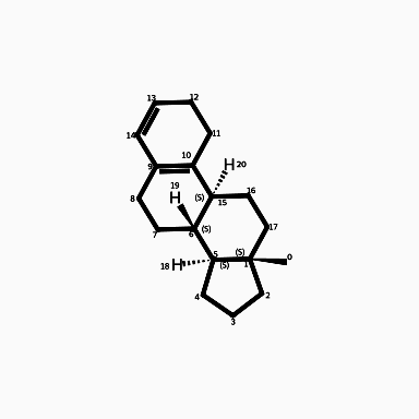 C[C@@]12CCC[C@H]1[C@@H]1CCC3=C(CCC=C3)[C@H]1CC2